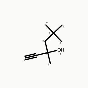 C#CC(C)(O)CC(C)(C)C